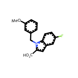 COc1cccc(Cn2c(C(=O)O)cc3cc(F)ccc32)c1